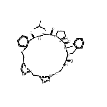 CC(C)C[C@H]1NC(=O)c2ccccc2OCc2cn(nn2)Cc2cn(nn2)CCNC(=O)[C@H](Cc2ccccc2)N(C)C(=O)[C@H]2CCCN2C1=O